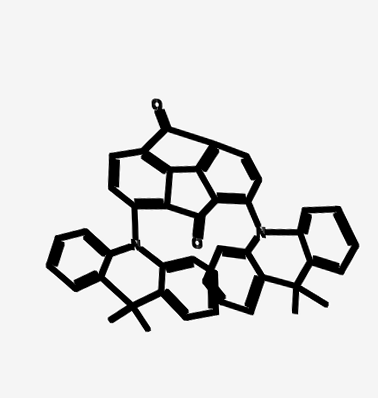 CC1(C)c2ccccc2N(c2ccc3c4c2c(=O)c2c(N5c6ccccc6C(C)(C)c6ccccc65)ccc(c2-4)c3=O)c2ccccc21